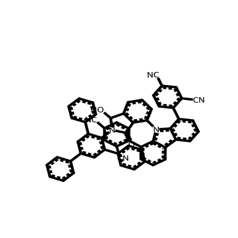 N#Cc1ccc(-c2cccc3c4cccc(-c5ccc(C#N)cc5C#N)c4n(-c4cccc5c4C(=O)N(c4c(-c6ccccc6)cc(-c6ccccc6)cc4-c4ccccc4)C5O)c23)c(C#N)c1